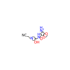 N#CCCCN1CC[C@@H](CNC(=O)c2cc(N)cc3c2OCCO3)C(O)C1